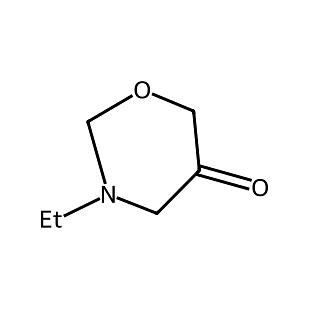 CCN1COCC(=O)C1